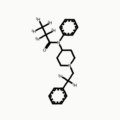 [2H]C([2H])(CN1CCC(N(C(=O)C([2H])([2H])C([2H])([2H])[2H])c2ccccc2)CC1)c1ccccc1